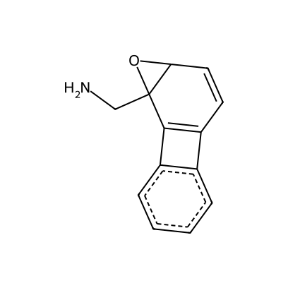 NCC12OC1C=CC1=C2c2ccccc21